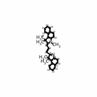 CN1/C(=C\C=C\C2=Nc3ccc4ccccc4c3C2(C)C)C(C)(C)c2c1ccc1ccccc21